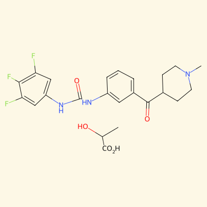 CC(O)C(=O)O.CN1CCC(C(=O)c2cccc(NC(=O)Nc3cc(F)c(F)c(F)c3)c2)CC1